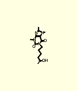 Cc1nc2c(c(=O)n(CCCC[C@H](C)O)c(=O)n2C)n1C